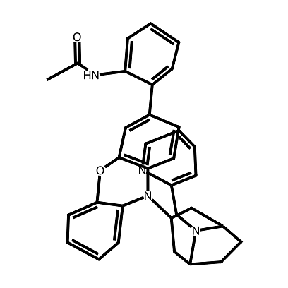 CC(=O)Nc1ccccc1-c1ccc2c(c1)Oc1ccccc1N2C1CC2CCC(C1)N2Cc1ccccn1